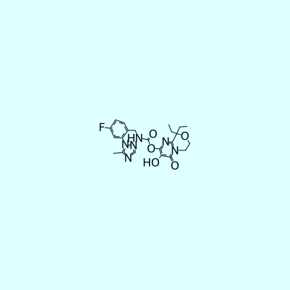 CCC1(CC)OCCn2c1nc(OC(=O)NCc1ccc(F)cc1-n1ncnc1C)c(O)c2=O